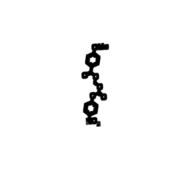 COc1ccc(C(=O)OCOC(=O)Oc2ccc([N+](=O)[O-])cc2)cc1